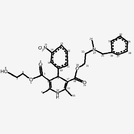 CC1=C(C(=O)OCCO)C(c2cccc([N+](=O)[O-])c2)C(C(=O)OCCN(C)Cc2ccccc2)=C(C)N1